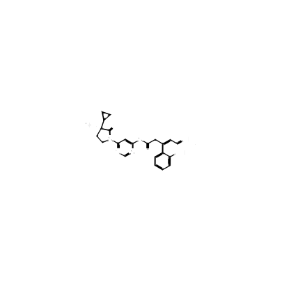 C=C/C=C(/CC(=O)Nc1cc(N2CC[C@@](C#N)(C3CC3)C2=O)ncn1)c1ccccc1C